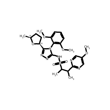 COc1cnc(C(C)C(C)S(=O)(=O)Nc2nnc([C@@H]3CC[C@H](C)O3)n2-c2c(OC)cccc2OC)nc1